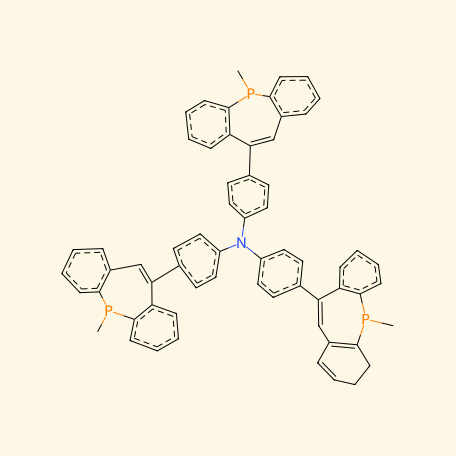 CP1C2=C(C=CCC2)C=C(c2ccc(N(c3ccc(C4=Cc5ccccc5P(C)c5ccccc54)cc3)c3ccc(C4=Cc5ccccc5P(C)c5ccccc54)cc3)cc2)c2ccccc21